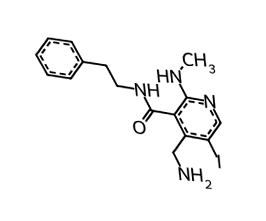 CNc1ncc(I)c(CN)c1C(=O)NCCc1ccccc1